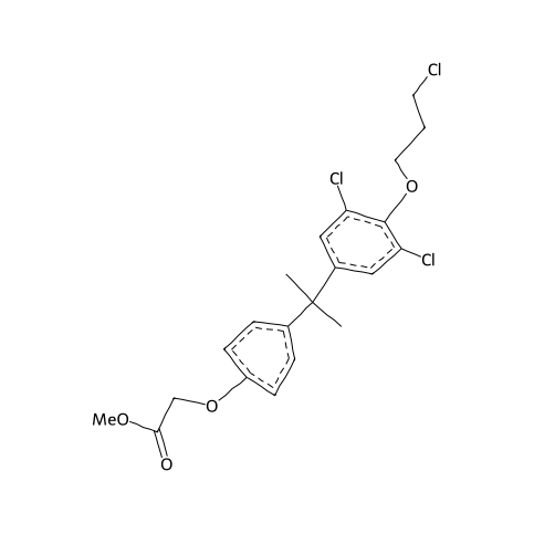 COC(=O)COc1ccc(C(C)(C)c2cc(Cl)c(OCCCCl)c(Cl)c2)cc1